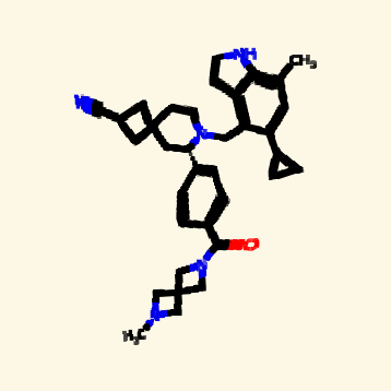 Cc1cc(C2CC2)c(CN2CCC3(CC(C#N)C3)C[C@H]2c2ccc(C(=O)N3CC4(CN(C)C4)C3)cc2)c2cc[nH]c12